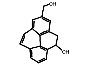 OCc1cc2c3c(ccc4cccc(c43)C(O)C2)c1